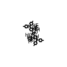 Cc1ccc(N(c2ccc(C)cc2)c2ccc(C3=C(O)/C(=C4/C=CC(=[PH](c5ccc(C)cc5)c5ccc(C)cc5)C=C4NS(=O)(=O)C(F)(F)F)C3=O)c(NS(=O)(=O)C(F)(F)F)c2)cc1